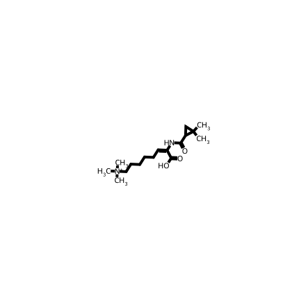 CC1(C)CC1C(=O)N/C(=C/CCCCC[N+](C)(C)C)C(=O)O